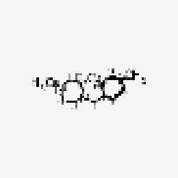 Cc1ccc(CN2CCN(C)CC2)c(C(F)(F)F)c1